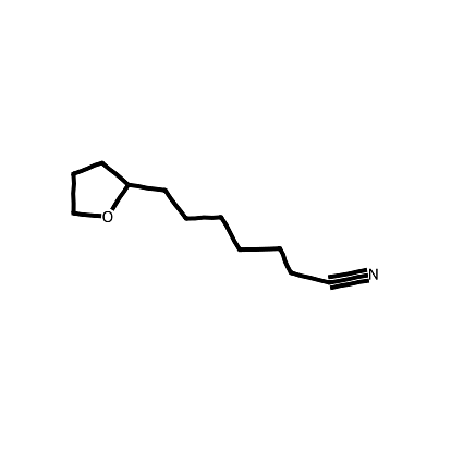 N#CCCCCCCC1CCCO1